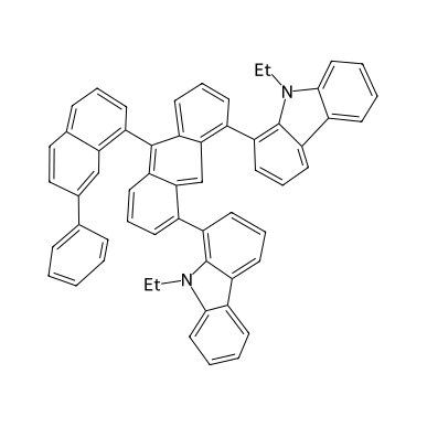 CCn1c2ccccc2c2cccc(-c3cccc4c(-c5cccc6ccc(-c7ccccc7)cc56)c5cccc(-c6cccc7c8ccccc8n(CC)c67)c5cc34)c21